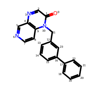 O=c1cnc2cnccc2n1Cc1cccc(-c2ccccc2)c1